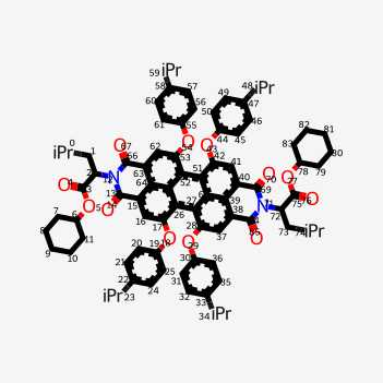 CC(C)CC(C(=O)OC1CCCCC1)N1C(=O)c2cc(Oc3ccc(C(C)C)cc3)c3c4c(Oc5ccc(C(C)C)cc5)cc5c6c(cc(Oc7ccc(C(C)C)cc7)c(c7c(Oc8ccc(C(C)C)cc8)cc(c2c37)C1=O)c64)C(=O)N(C(CC(C)C)C(=O)OC1CCCCC1)C5=O